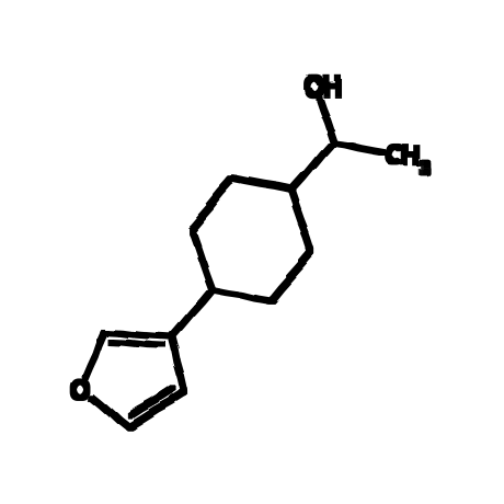 CC(O)C1CCC(c2ccoc2)CC1